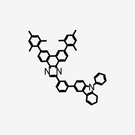 Cc1cc(C)c(-c2ccc3c(c2)c2cc(-c4c(C)cc(C)cc4C)ccc2c2nc(-c4cccc(-c5ccc6c(c5)c5c(n6-c6ccccc6)CCC=C5)c4)cnc32)c(C)c1